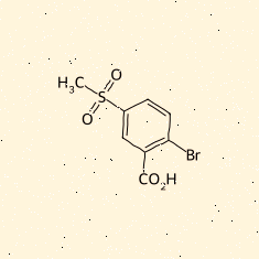 CS(=O)(=O)c1ccc(Br)c(C(=O)O)c1